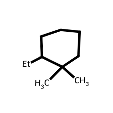 CC[C]1CCCCC1(C)C